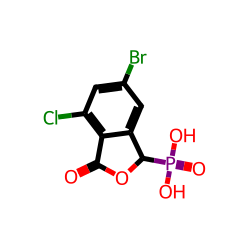 O=C1OC(P(=O)(O)O)c2cc(Br)cc(Cl)c21